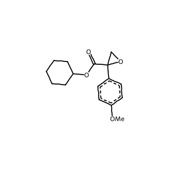 COc1ccc(C2(C(=O)OC3CCCCC3)CO2)cc1